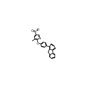 Cc1cc([N+](=O)[O-])cnc1Oc1ccc(-c2cccc3c2Cc2ccccc2-3)cc1